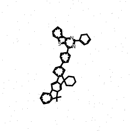 CC1(C)c2ccccc2C2C=C3C(=CC21)C1(CCCCC1)c1cc(-c2ccc(-c4nc(C5=CC=CCC5)nc5c4sc4ccccc45)cc2)ccc13